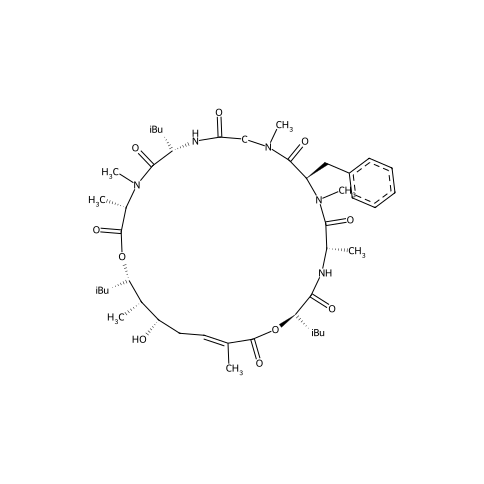 CC[C@@H](C)[C@@H]1NC(=O)CN(C)C(=O)[C@@H](Cc2ccccc2)N(C)C(=O)[C@H](C)NC(=O)[C@@H]([C@@H](C)CC)OC(=O)/C(C)=C/C[C@H](O)[C@H](C)[C@H]([C@@H](C)CC)OC(=O)[C@H](C)N(C)C1=O